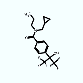 CCCN(CC1CC1)C(=O)c1ccc(C(O)(C(F)(F)F)C(F)(F)F)cc1